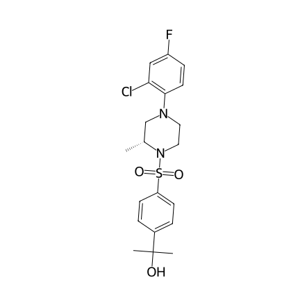 C[C@@H]1CN(c2ccc(F)cc2Cl)CCN1S(=O)(=O)c1ccc(C(C)(C)O)cc1